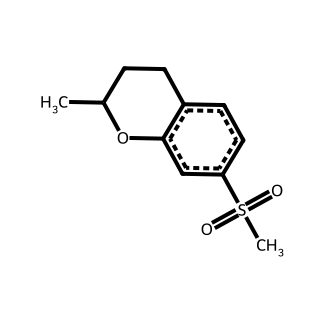 CC1CCc2ccc(S(C)(=O)=O)cc2O1